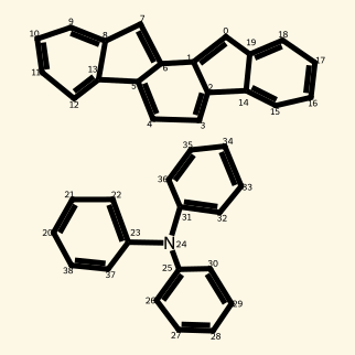 C1=c2c(ccc3c2=Cc2ccccc2-3)-c2ccccc21.c1ccc(N(c2ccccc2)c2ccccc2)cc1